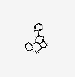 Cc1csc2nc(-c3ccccn3)nc(N3CCOCC3)c12